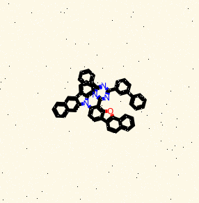 c1ccc(-c2cccc(-c3nc(-c4ccccc4)nc(-c4c(-n5c6ccccc6c6cc7ccccc7cc65)ccc5c4oc4c6ccccc6ccc54)n3)c2)cc1